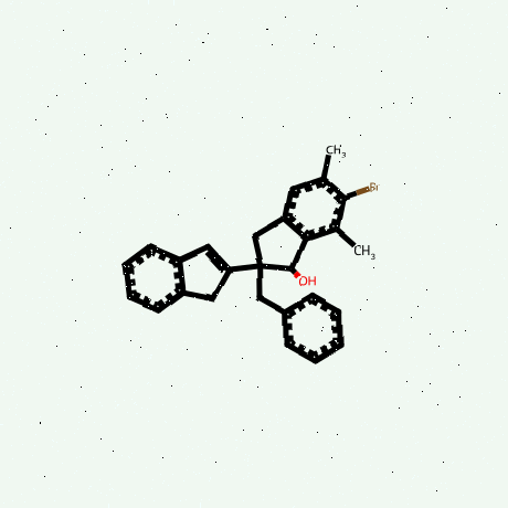 Cc1cc2c(c(C)c1Br)C(O)C(Cc1ccccc1)(C1=Cc3ccccc3C1)C2